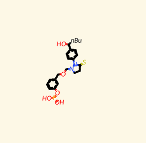 CCCCC(O)c1ccc(N2C(=S)CCN2COCc2cccc(OP(O)O)c2)cc1